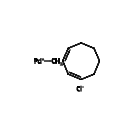 C1=C\CCCC\C=C/1.[CH3][Pd+].[Cl-]